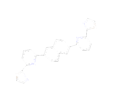 c1cc(-c2ccc3cc(-c4cccc(-c5nccs5)n4)ccc3c2)nc(-c2nccs2)c1